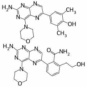 Cc1cc(-c2cnc3nc(N)nc(N4CCOCC4)c3n2)cc(C)c1O.NC(=O)c1c(CCO)cccc1-c1cnc2nc(N)nc(N3CCOCC3)c2n1